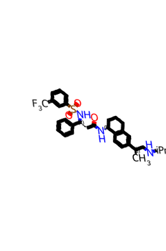 CC(C)NC[C@@H](C)c1ccc2c(c1)CCC[C@H]2NC(=O)C[C@@H](NS(=O)(=O)c1cccc(C(F)(F)F)c1)c1ccccc1